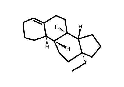 CC[C@@]12CCC[C@H]1[C@@H]1CCC3=CCCC[C@@H]3[C@H]1CC2